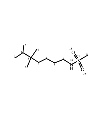 CC(C)C(C)(C)CCCCNS(C)(=O)=O